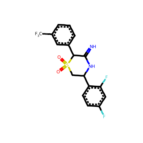 N=C1NC(c2ccc(F)cc2F)CS(=O)(=O)C1c1cccc(C(F)(F)F)c1